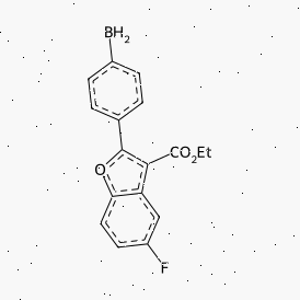 Bc1ccc(-c2oc3ccc(F)cc3c2C(=O)OCC)cc1